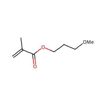 C=C(C)C(=O)OCCCOC